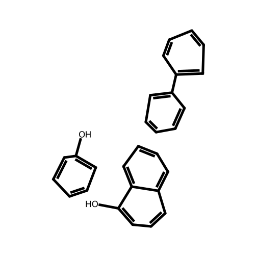 Oc1cccc2ccccc12.Oc1ccccc1.c1ccc(-c2ccccc2)cc1